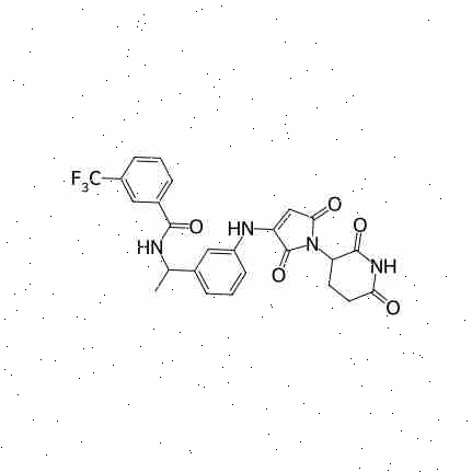 CC(NC(=O)c1cccc(C(F)(F)F)c1)c1cccc(NC2=CC(=O)N(C3CCC(=O)NC3=O)C2=O)c1